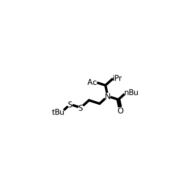 CCCCC(=O)N(CCSSC(C)(C)C)C(C(C)=O)C(C)C